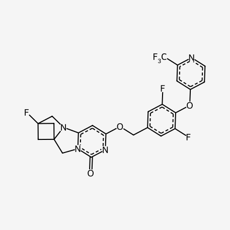 O=c1nc(OCc2cc(F)c(Oc3ccnc(C(F)(F)F)c3)c(F)c2)cc2n1CC13CC(F)(CN21)C3